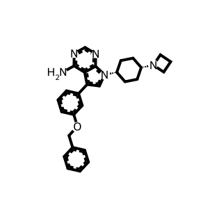 Nc1ncnc2c1c(-c1cccc(OCc3ccccc3)c1)cn2[C@H]1CC[C@@H](N2CCC2)CC1